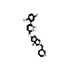 N=C(/C=C\C(=N)c1cc(F)ccc1Cl)O[C@@H]1CC2CN(CC3CCCOC3)C[C@@H]2C1